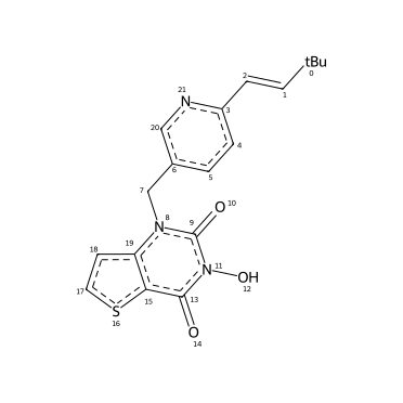 CC(C)(C)C=Cc1ccc(Cn2c(=O)n(O)c(=O)c3sccc32)cn1